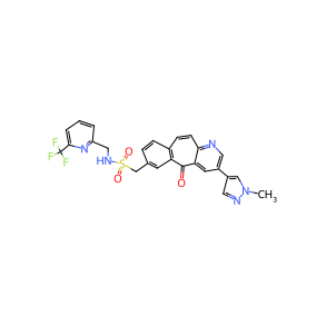 Cn1cc(-c2cnc3ccc4ccc(CS(=O)(=O)NCc5cccc(C(F)(F)F)n5)cc4c(=O)c3c2)cn1